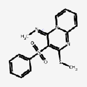 C/N=c1\c(S(=O)(=O)c2ccccc2)c(SC)nc2ccccn12